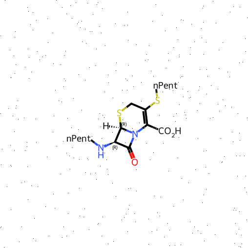 CCCCCN[C@@H]1C(=O)N2C(C(=O)O)=C(SCCCCC)CS[C@H]12